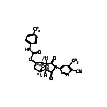 C[C@]12O[C@](C)(C[C@H]1OC(=O)Nc1ccc(C(F)(F)F)cc1)[C@H]1C(=O)N(c3cnc(C#N)c(C(F)(F)F)c3)C(=O)[C@H]12